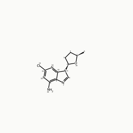 C[C@@H]1CC[C@H](n2cnc3c(N)nc(Cl)nc32)O1